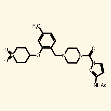 CC(=O)Nc1ccn(C(=O)N2CCN(Cc3ccc(C(F)(F)F)cc3OC3CCS(=O)(=O)CC3)CC2)n1